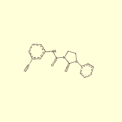 C#Cc1cccc(NC(=O)N2CCN(c3ccccc3)C2=O)c1